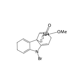 COC1=CC=CC23C4=CCCC=C4N(Br)C2=CCC(=O)C3N1